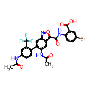 CC(=O)Nc1ccc(-c2cc3noc(C(=O)Nc4ccc(Br)cc4C(=O)O)c3cc2NC(C)=O)c(C(F)(F)F)c1